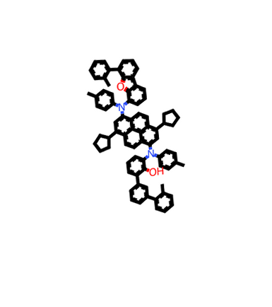 Cc1ccc(N(c2cccc(-c3cccc(-c4ccccc4C)c3)c2O)c2cc(C3CCCC3)c3ccc4c(N(c5ccc(C)cc5)c5cccc6c5oc5c(-c7ccccc7C)cccc56)cc(C5CCCC5)c5ccc2c3c54)cc1